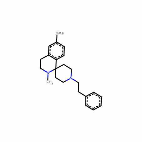 COc1ccc2c(c1)CCN(C)C21CCN(CCc2ccccc2)CC1